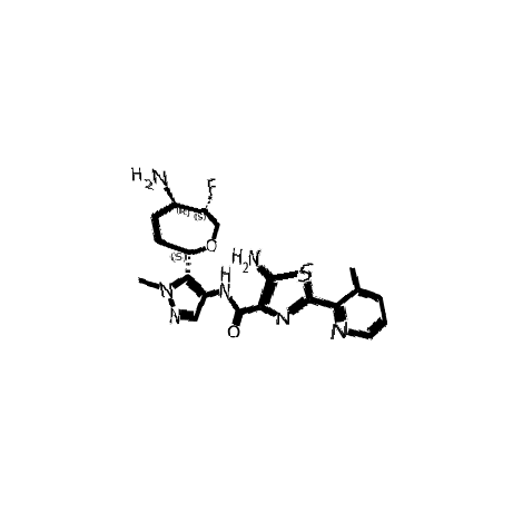 Cc1cccnc1-c1nc(C(=O)Nc2cnn(C)c2[C@@H]2CC[C@@H](N)[C@H](F)CO2)c(N)s1